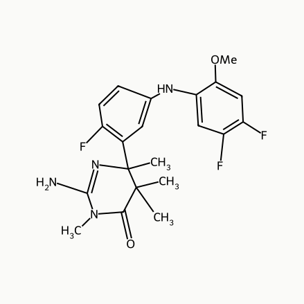 COc1cc(F)c(F)cc1Nc1ccc(F)c(C2(C)N=C(N)N(C)C(=O)C2(C)C)c1